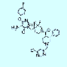 Nc1c(Oc2ccc(F)cc2)ncn(C[C@@]2(O)CCN(C(=O)[C@@H]3CCN(Cc4cc(Cl)ncn4)C[C@H]3c3ccccc3)CC2(F)F)c1=O